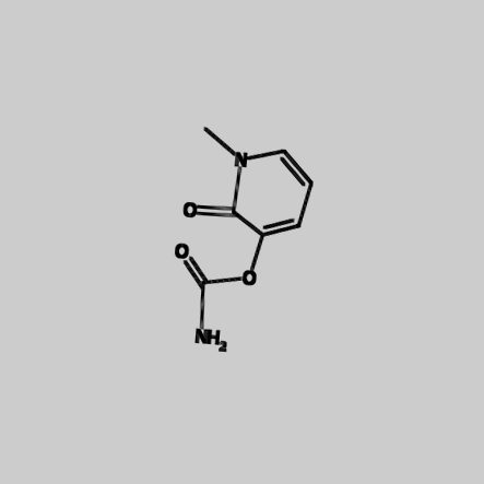 Cn1cccc(OC(N)=O)c1=O